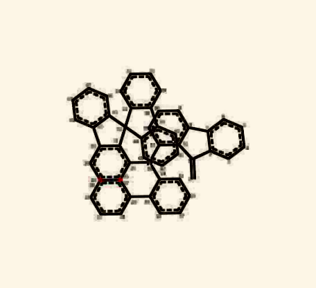 C=C1c2ccccc2-c2cccc(N(c3ccccc3-c3ccccc3)c3cccc4c3C3(c5ccccc5-c5ccccc53)c3ccccc3-4)c21